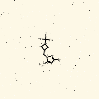 Cc1cc(Br)nn1CC1CC(C(F)(F)F)C1